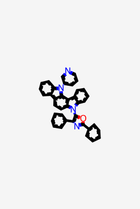 c1ccc(-c2nc(-c3ccccc3)c(-n3c4ccccc4c4c3ccc3c5ccccc5n(-c5cccnc5)c34)o2)cc1